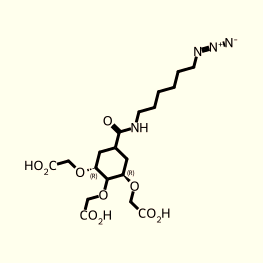 [N-]=[N+]=NCCCCCCNC(=O)C1C[C@@H](OCC(=O)O)C(OCC(=O)O)[C@H](OCC(=O)O)C1